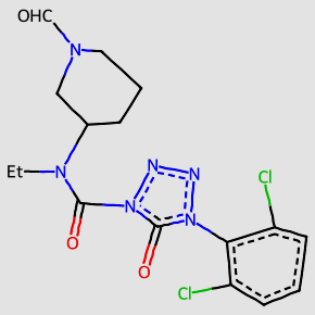 CCN(C(=O)n1nnn(-c2c(Cl)cccc2Cl)c1=O)C1CCCN(C=O)C1